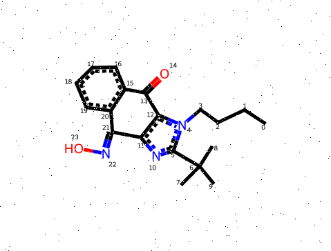 CCCCn1c(C(C)(C)C)nc2c1C(=O)c1ccccc1C2=NO